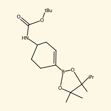 CC(C)C1(C)OB(C2=CCC(NC(=O)OC(C)(C)C)CC2)OC1(C)C